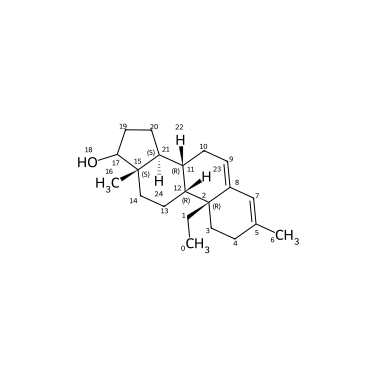 CC[C@]12CCC(C)=CC1=CC[C@@H]1[C@H]2CC[C@]2(C)C(O)CC[C@@H]12